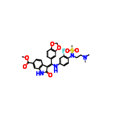 COC(=O)c1ccc2c(c1)NC(=O)/C2=C(\Nc1ccc(N(CCN(C)C)S(C)(=O)=O)c(F)c1)c1ccc2c(c1)OCO2